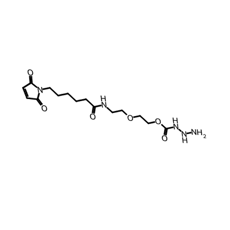 NNNC(=O)OCCOCCNC(=O)CCCCCN1C(=O)C=CC1=O